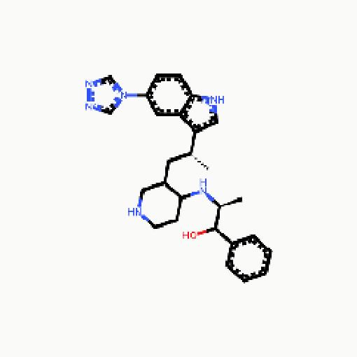 C[C@H](CC1CNCCC1N[C@@H](C)C(O)c1ccccc1)c1c[nH]c2ccc(-n3cnnc3)cc12